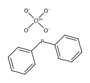 [O-][Cl+3]([O-])([O-])[O-].c1ccc([I+]c2ccccc2)cc1